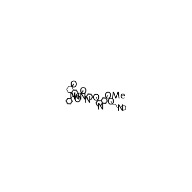 COc1cc2c(Oc3ccc(NC(=O)c4cc5c(n(-c6ccccc6)c4=O)CCCC5=O)nc3)ccnc2cc1OCCCN1CCCC1